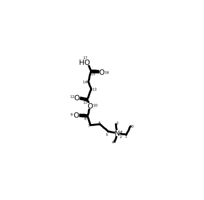 CC[N+](C)(C)CCCC(=O)OC(=O)CCC(=O)O